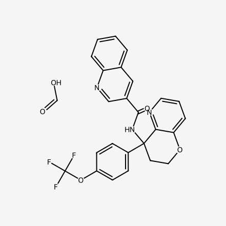 O=C(NC1(c2ccc(OC(F)(F)F)cc2)CCOc2cccnc21)c1cnc2ccccc2c1.O=CO